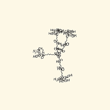 CC(=O)NC1C(OCCCCC(=O)NCCCNC(=O)CCOCC(COCCC(=O)NCCCNC(=O)CCCCOC2OC(CO)C(O)C(O)C2NC(C)=O)(COCCC(=O)NCCCNC(=O)CCCCOC2OC(CO)C(O)C(O)C2NC(C)=O)NC(=O)CCCCCCCCCNC(=O)[C@@H]2C[C@H](O)[C@@H](COC(C)C)O2)OC(CO)C(O)C1O